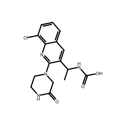 CC(NC(=O)O)c1cc2cccc(Cl)c2nc1N1CCNC(=O)C1